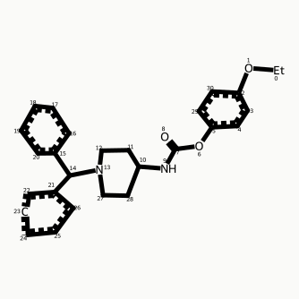 CCOc1ccc(OC(=O)NC2CCN(C(c3ccccc3)c3ccccc3)CC2)cc1